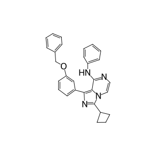 c1ccc(COc2cccc(-c3nc(C4CCC4)n4ccnc(Nc5ccccc5)c34)c2)cc1